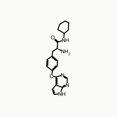 N[C@@H](Cc1ccc(Oc2ncnc3[nH]ccc23)cc1)C(=O)NC1CCCCC1